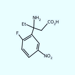 CCC(N)(CC(=O)O)c1cc([N+](=O)[O-])ccc1F